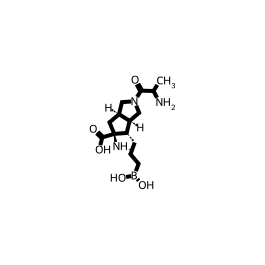 CC(N)C(=O)N1C[C@@H]2C[C@@](N)(C(=O)O)[C@@H](CCCB(O)O)[C@@H]2C1